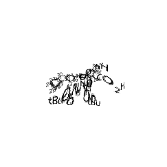 CC(C)(C)OC(=O)N=CNC(=O)OC(C)(C)C.O=C(O)CC(NC(=O)OCc1ccc2c(c1)Cc1ccccc1-2)C1=CCNC1